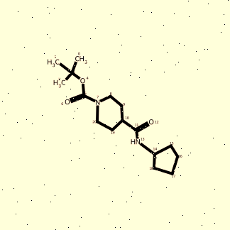 CC(C)(C)OC(=O)N1CCC(C(=O)NC2CCCC2)CC1